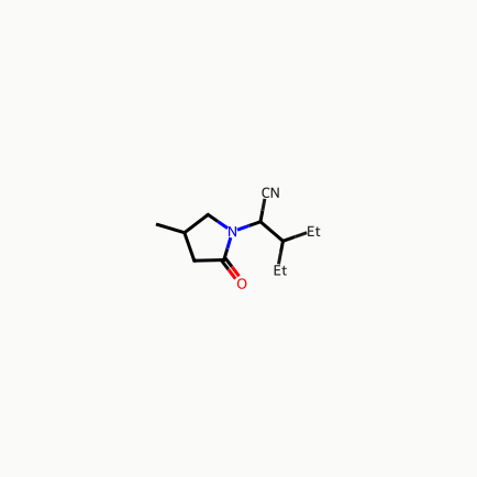 CCC(CC)C(C#N)N1CC(C)CC1=O